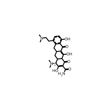 CN(C)CCc1ccc(O)c2c1CC1CC3C(C(=O)C(C(N)=O)=C(O)[C@H]3N(C)C)C(O)=C1C2=O